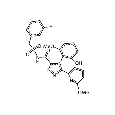 COC1=NC(c2nnc(C(=O)NS(=O)(=O)Cc3cccc(F)c3)n2-c2c(O)cccc2OC)=C=C=C1